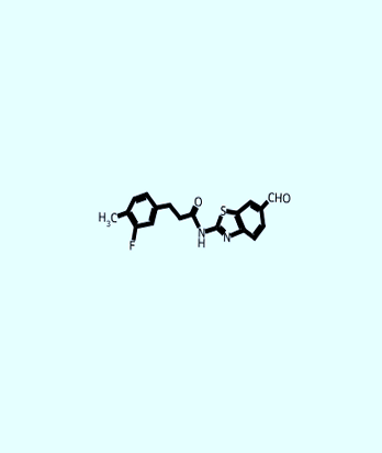 Cc1ccc(CCC(=O)Nc2nc3ccc(C=O)cc3s2)cc1F